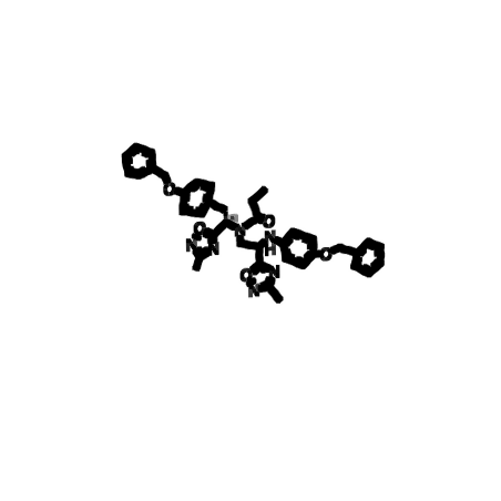 CCC(=O)N(CC(Nc1ccc(OCc2ccccc2)cc1)c1nc(C)no1)[C@@H](Cc1ccc(OCc2ccccc2)cc1)c1nc(C)no1